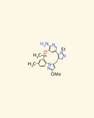 CCn1ncc2c1-c1cnc(N)c(c1)O[C@H](C)c1cc(C)ccc1-n1nc(OC)cc1C2